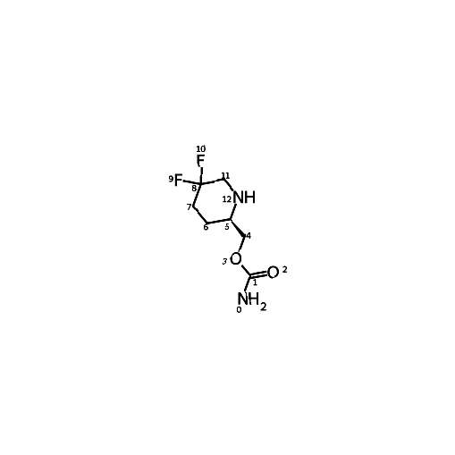 NC(=O)OC[C@H]1CCC(F)(F)CN1